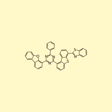 c1ccc(-c2nc(-c3cccc4c3oc3ccccc34)nc(-c3cccc4sc5c(-c6nc7ccccc7s6)cccc5c34)n2)cc1